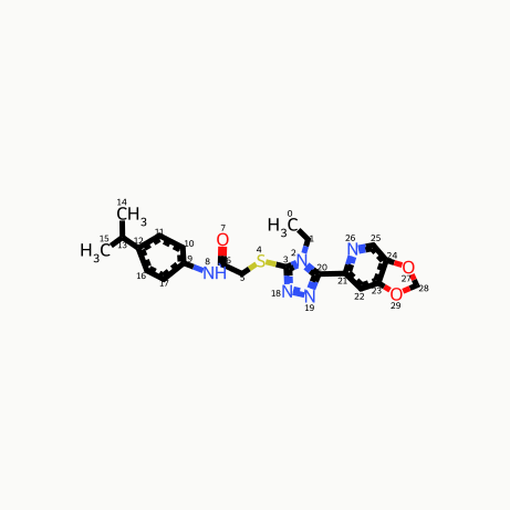 CCn1c(SCC(=O)Nc2ccc(C(C)C)cc2)nnc1-c1cc2c(cn1)OCO2